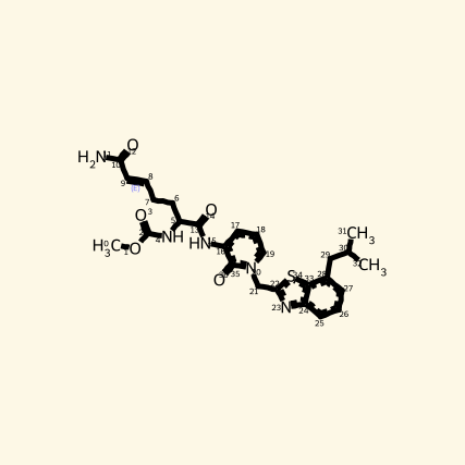 COC(=O)NC(CC/C=C/C(N)=O)C(=O)Nc1cccn(Cc2nc3cccc(CC(C)C)c3s2)c1=O